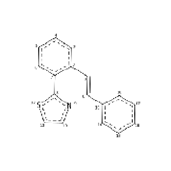 C(=Cc1ccccc1-c1nccs1)c1ccccc1